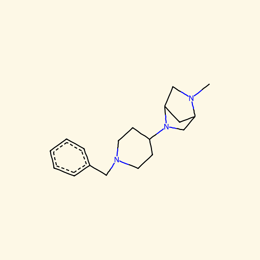 CN1CC2CC1CN2C1CCN(Cc2ccccc2)CC1